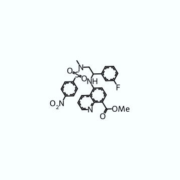 COC(=O)c1ccc(NC(CN(C)S(=O)(=O)c2ccc([N+](=O)[O-])cc2)c2cccc(F)c2)c2cccnc12